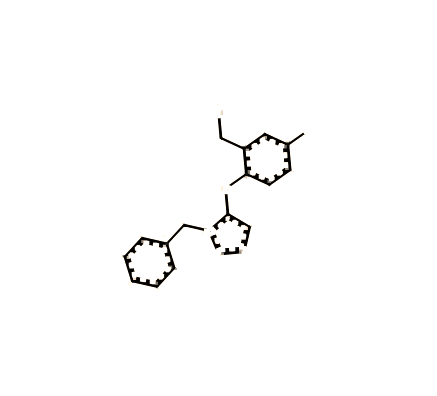 NCc1cc(Cl)ccc1Nc1cnnn1Cc1ccccc1